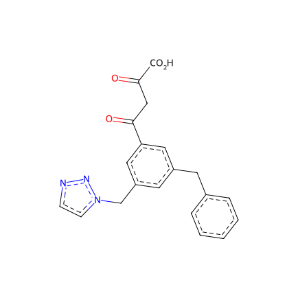 O=C(O)C(=O)CC(=O)c1cc(Cc2ccccc2)cc(Cn2ccnn2)c1